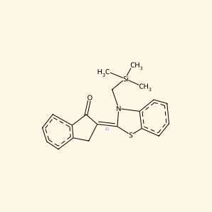 C[Si](C)(C)CN1/C(=C2/Cc3ccccc3C2=O)Sc2ccccc21